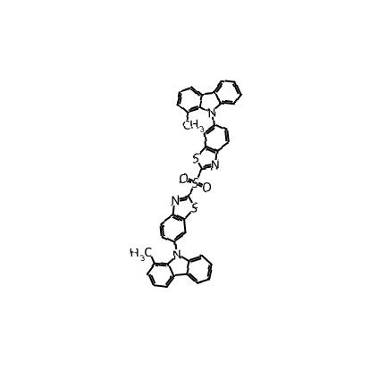 Cc1cccc2c3ccccc3n(-c3ccc4nc(S(=O)(=O)c5nc6ccc(-n7c8ccccc8c8cccc(C)c87)cc6s5)sc4c3)c12